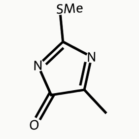 CSC1=NC(=O)C(C)=N1